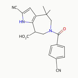 CC1(C)CN(C(=O)c2ccc(C#N)cc2)CC(C(=O)O)c2[nH]c(C#N)cc21